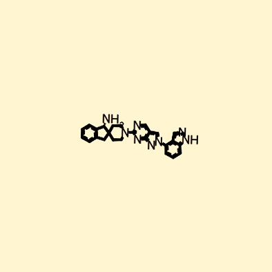 N[C@@H]1c2ccccc2CC12CCN(c1ncc3cn(-c4cccc5[nH]ncc45)nc3n1)CC2